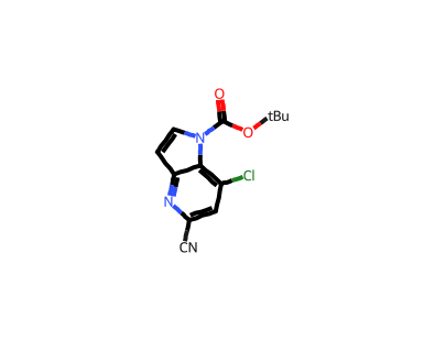 CC(C)(C)OC(=O)n1ccc2nc(C#N)cc(Cl)c21